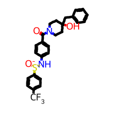 O=C(c1ccc(N[S+]([O-])c2ccc(C(F)(F)F)cc2)cc1)N1CCC(O)(Cc2ccccc2)CC1